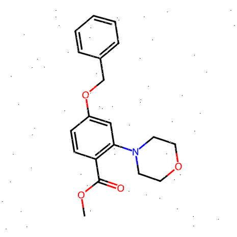 COC(=O)c1ccc(OCc2ccccc2)cc1N1CCOCC1